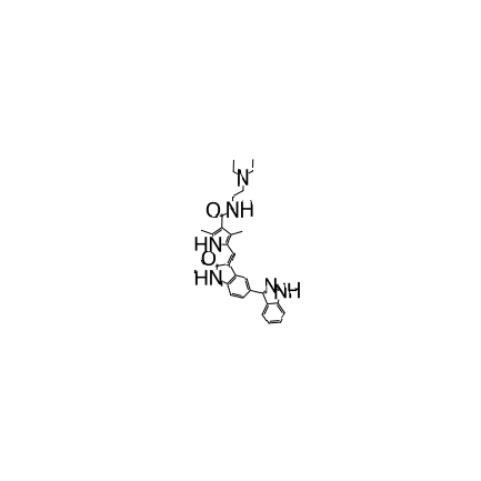 CCN(CC)CCNC(=O)c1c(C)[nH]c(/C=C2\C(=O)Nc3ccc(-c4n[nH]c5ccccc45)cc32)c1C